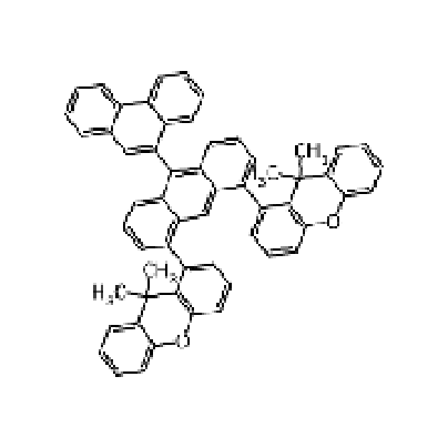 CC1(C)c2ccccc2Oc2cccc(-c3cccc4c(-c5cc6ccccc6c6ccccc56)c5cccc(-c6cccc7c6C(C)(C)c6ccccc6O7)c5cc34)c21